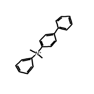 C[N+](C)(c1ccccc1)c1ccc(-c2ccccc2)cc1